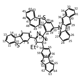 CCC1C(c2ccc3c(c2)sc2ccccc23)=NC(c2cc(-n3c4ccccc4c4cc5ccccc5cc43)cc3sc4c5ccccc5ccc4c23)=NC1c1ccc2c(c1)sc1ccccc12